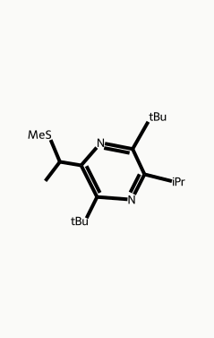 CSC(C)c1nc(C(C)(C)C)c(C(C)C)nc1C(C)(C)C